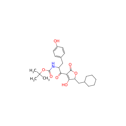 CC(C)(C)OC(=O)NC(Cc1ccc(O)cc1)C(=O)C1=C(O)C(CC2CCCCC2)OC1=O